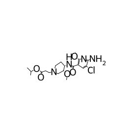 COc1nc(N)c(Cl)cc1C(=O)N[C@H]1CCN(CCC(=O)OC(C)C)C[C@H]1OC